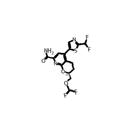 NC(=O)c1cc(-c2cnc(C(F)F)s2)c2c(n1)O[C@H](COC(F)F)CC2